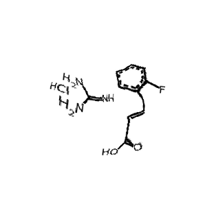 Cl.N=C(N)N.O=C(O)C=Cc1ccccc1F